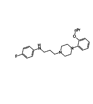 CCCOc1ccccc1N1CCN(CCCNc2ccc(F)cc2)CC1